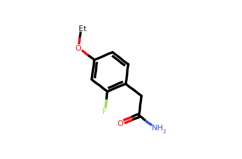 CCOc1ccc(CC(N)=O)c(F)c1